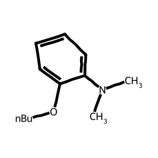 [CH2]CCCOc1ccccc1N(C)C